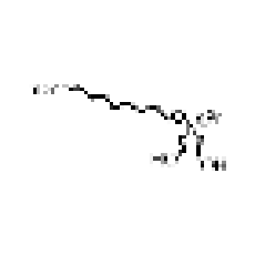 CCCCCCCCCCCCCCCCCCO[N+](CCC)(CCO)CCO